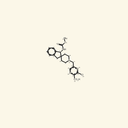 CC(C)(C)OC(=O)N[C@@H]1c2ccccc2CC12CCN(Cc1cnc(C(=O)O)c(Cl)n1)CC2